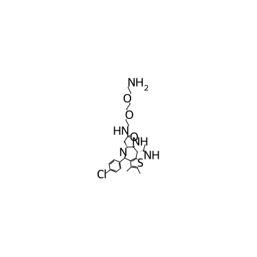 CC(=N)[C@H]1C(=N)[C@H](CC(=O)NCCOCCOCCN)N=C(c2ccc(Cl)cc2)c2c1sc(C)c2C